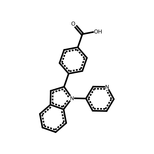 O=C(O)c1ccc(-c2cc3ccccc3n2-c2cccnc2)cc1